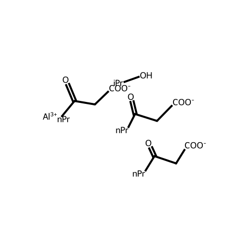 CC(C)O.CCCC(=O)CC(=O)[O-].CCCC(=O)CC(=O)[O-].CCCC(=O)CC(=O)[O-].[Al+3]